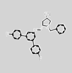 N#C[C@@H]1C[C@@H](COc2cc(-c3ccc(F)cc3)cc(-c3ccc(F)cc3)c2)N(Cc2ccccc2)C1